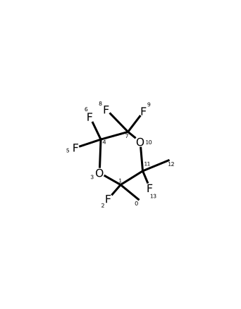 CC1(F)OC(F)(F)C(F)(F)OC1(C)F